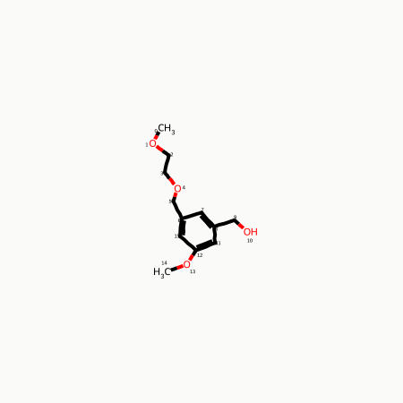 COCCOCc1cc(CO)cc(OC)c1